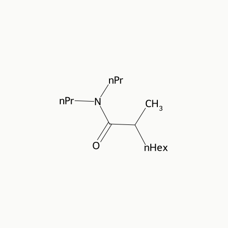 CCCCCCC(C)C(=O)N(CCC)CCC